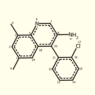 Cc1cc(C)c2ncc(N)c(-c3ccccc3Cl)c2c1